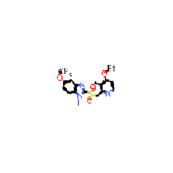 CCOc1ccnc(CS(=O)(=O)c2nc3cc(OC(F)(F)F)ccc3[nH]2)c1C